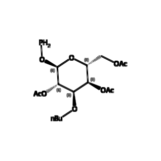 CCCCO[C@H]1[C@H](OC(C)=O)[C@@H](OP)O[C@H](COC(C)=O)[C@H]1OC(C)=O